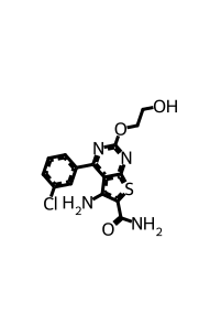 NC(=O)c1sc2nc(OCCO)nc(-c3cccc(Cl)c3)c2c1N